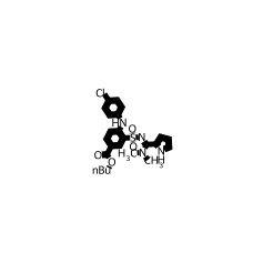 CCCCOC(=O)c1ccc(Nc2ccc(Cl)cc2)c(S(=O)(=O)N=C(c2ccc[nH]2)N(C)C)c1